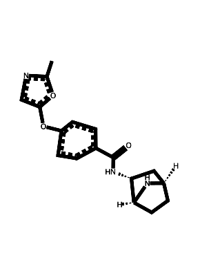 Cc1ncc(Oc2ccc(C(=O)N[C@@H]3C[C@H]4CC[C@@H]3N4)cc2)o1